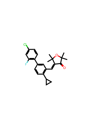 CC1(C)OC(C)(C)C(=Cc2cc(-c3ccc(Cl)cc3F)ccc2C2CC2)C1=O